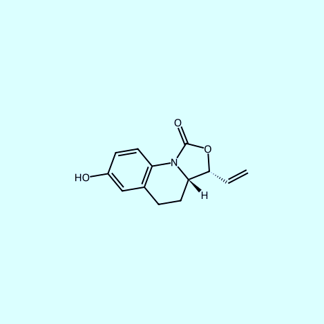 C=C[C@H]1OC(=O)N2c3ccc(O)cc3CC[C@@H]12